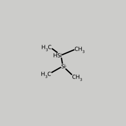 C[Si](C)[SiH](C)C